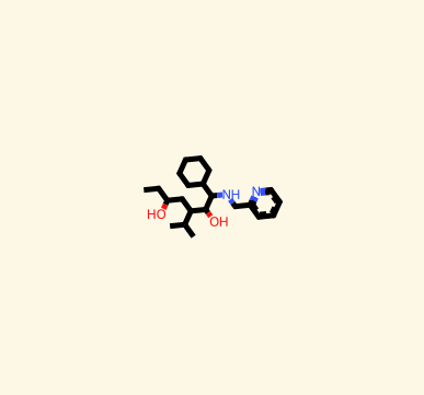 CCC(O)CC(C(C)C)C(O)C(NCc1ccccn1)C1CCCCC1